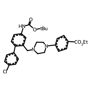 CCOC(=O)c1ccc(N2CCN(Cc3cc(NC(=O)OC(C)(C)C)ccc3-c3ccc(Cl)cc3)CC2)cc1